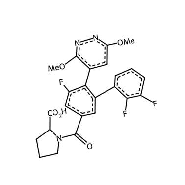 COc1cc(-c2c(F)cc(C(=O)N3CCCC3C(=O)O)cc2-c2cccc(F)c2F)c(OC)nn1